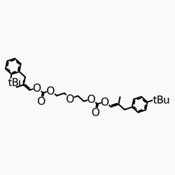 C/C(=C/OC(=O)OCCOCCOC(=O)O/C=C(\C)Cc1ccc(C(C)(C)C)cc1)Cc1ccccc1C(C)(C)C